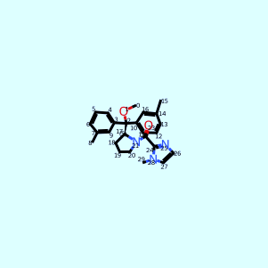 COC(c1cccc(C)c1)(c1cccc(C)c1)[C@@H]1CCCN1C(=O)c1nccn1C